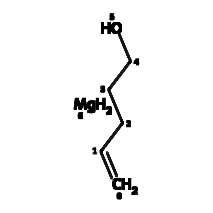 C=CCCCO.[MgH2]